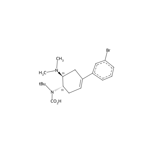 CN(C)[C@H]1CC(c2cccc(Br)c2)=CC[C@@H]1N(C(=O)O)C(C)(C)C